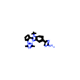 Cc1nc(C)n(-c2ccccc2-c2nc3cc(-c4cnc(N)nc4)ccc3n2C(C)(C)C)n1